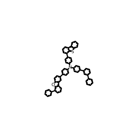 c1ccc(-c2cccc(-c3ccc(N(c4ccc(-c5ccc6oc7c(-c8ccccc8)cccc7c6c5)cc4)c4ccc(-c5cccc6c5sc5ccccc56)cc4)cc3)c2)cc1